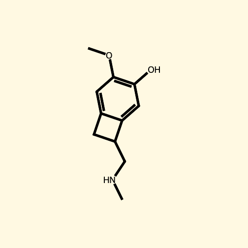 CNCC1Cc2cc(OC)c(O)cc21